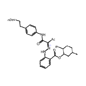 CCCCCCCCCCCCc1ccc(NC(=O)/C(=N\Nc2ccccc2C(=O)OC2CC(C)CCC2C(C)C)C(C)=O)cc1